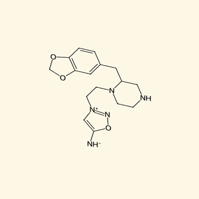 [NH-]c1c[n+](CCN2CCNCC2Cc2ccc3c(c2)OCO3)no1